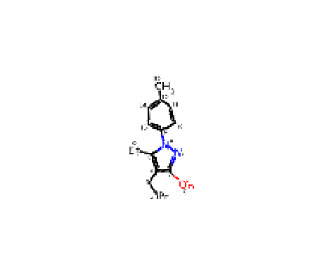 CCc1c(CC(C)C)c(O)nn1-c1ccc(C)cc1